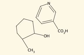 CC1CCCCC1O.O=C(O)c1cccnc1